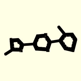 Cc1nc(-c2cnc(-c3ccccc3C)nc2)cs1